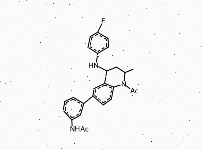 CC(=O)Nc1cccc(-c2ccc3c(c2)C(Nc2ccc(F)cc2)CC(C)N3C(C)=O)c1